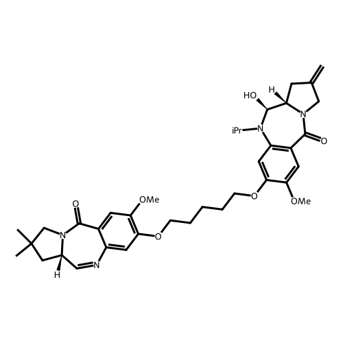 C=C1C[C@H]2[C@H](O)N(C(C)C)c3cc(OCCCCCOc4cc5c(cc4OC)C(=O)N4CC(C)(C)C[C@H]4C=N5)c(OC)cc3C(=O)N2C1